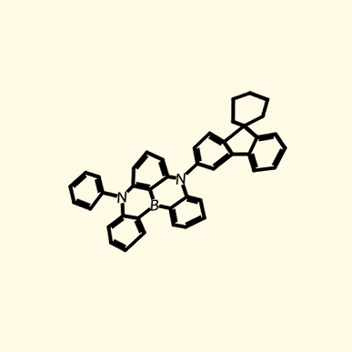 c1ccc(N2c3ccccc3B3c4ccccc4N(c4ccc5c(c4)-c4ccccc4C54CCCCC4)c4cccc2c43)cc1